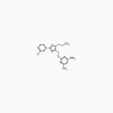 CCCc1sc(-c2ccnc(F)c2)nc1CSc1nc(C)cc(N)n1